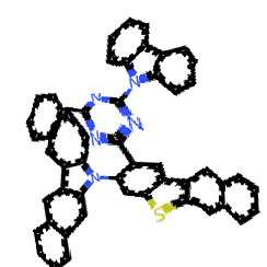 c1ccc(-c2nc(-c3cc4c(cc3-n3c5ccccc5c5cc6ccccc6cc53)sc3cc5ccccc5cc34)nc(-n3c4ccccc4c4ccccc43)n2)cc1